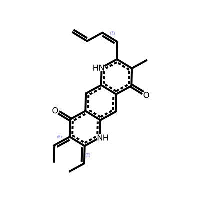 C=C/C=C\c1[nH]c2cc3c(=O)c(=C/C)/c(=C\C)[nH]c3cc2c(=O)c1C